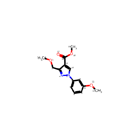 COCc1nn(-c2cccc(OC)c2)cc1C(=O)OC